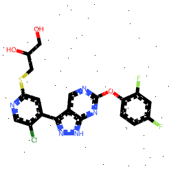 OCC(O)CSc1cc(-c2n[nH]c3nc(Oc4ccc(F)cc4F)ncc23)c(Cl)cn1